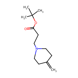 C=C1CCN(CCC(=O)OC(C)(C)C)CC1